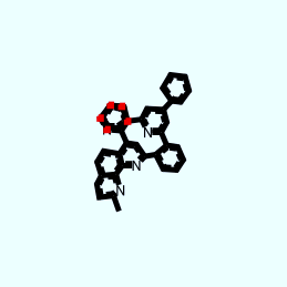 Cc1ccc2ccc3c(-c4ccccn4)cc(-c4ccccc4-c4cc(-c5ccccc5)cc(-c5ccccc5)n4)nc3c2n1